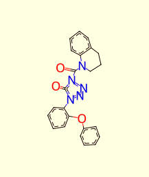 O=C(N1CCCc2ccccc21)n1nnn(-c2ccccc2Oc2ccccc2)c1=O